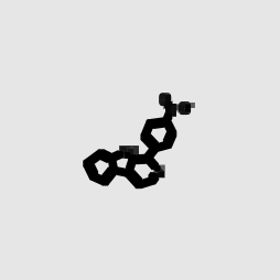 O=[N+]([O-])c1ccc(-c2nccc3c2[nH]c2ccccc23)cc1